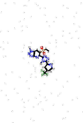 CCS(=O)(=O)c1cc2c(nnn2C)nc1-c1nnc(-c2cc(C(F)(F)F)ccn2)n1C